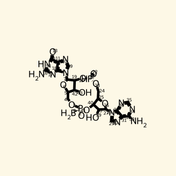 B[P@]1(=O)OCC2OC(n3cnc4c(=O)[nH]c(N)nc43)C(O[PH](=O)OCC3OC(n4cnc5c(N)ncnc54)C(O)C3O1)C2O